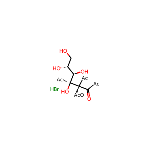 Br.CC(=O)O[C@@](C(C)=O)(C(=O)C(C)=O)[C@](O)(C(C)=O)[C@H](O)[C@H](O)CO